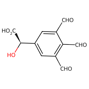 O=Cc1cc([C@@H](O)C(=O)O)cc(C=O)c1C=O